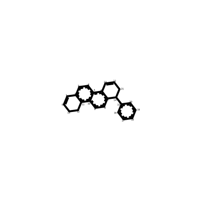 C1=Cc2ccc3c4c(ccc3c2CC1)C(c1ccccc1)CC=C4